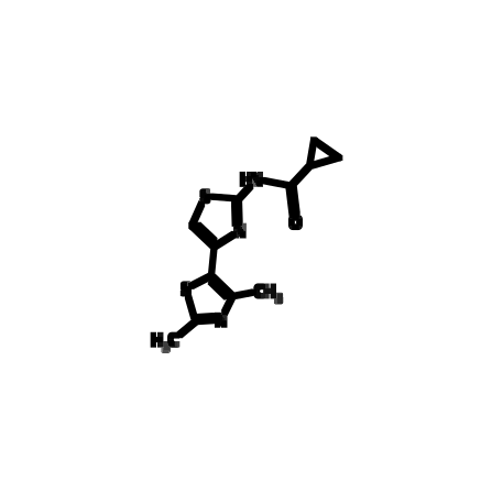 Cc1nc(C)c(-c2csc(NC(=O)C3CC3)n2)s1